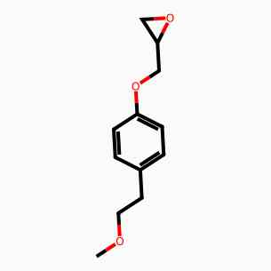 COCCc1ccc(OCC2CO2)cc1